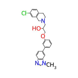 Cn1cnc2ccc(-c3cccc(OCC(O)CN4CCc5ccc(Cl)cc5C4)c3)cc21